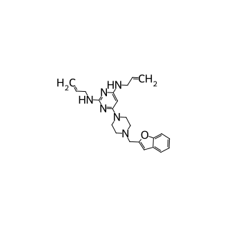 C=CCNc1cc(N2CCN(Cc3cc4ccccc4o3)CC2)nc(NCC=C)n1